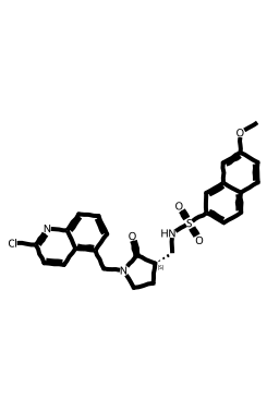 COc1ccc2ccc(S(=O)(=O)NC[C@@H]3CCN(Cc4cccc5nc(Cl)ccc45)C3=O)cc2c1